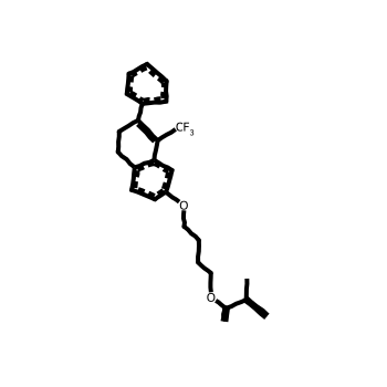 C=C(C)C(=C)OCCCCOc1ccc2c(c1)C(C(F)(F)F)=C(c1ccccc1)CC2